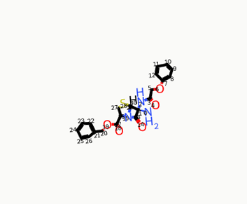 N[C@@]1(NC(=O)COc2ccccc2)C(=O)N2C(C(=O)OCc3ccccc3)CS[C@@H]21